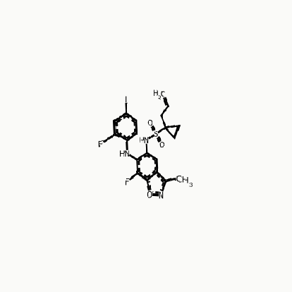 C=CCC1(S(=O)(=O)Nc2cc3c(C)noc3c(F)c2Nc2ccc(I)cc2F)CC1